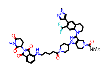 CNC(=O)N1CCc2c(c(N3CCCc4cc(-c5cnn(C)c5)c(C(F)F)cc43)nn2C2CCN(C(=O)CCCCNc3cccc4c3C(=O)N(C3CCC(=O)NC3=O)C4=O)CC2)C1